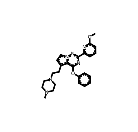 COc1cccc(-c2nc(Oc3ccccc3)c3c(CCN4CCN(C)CC4)ccn3n2)n1